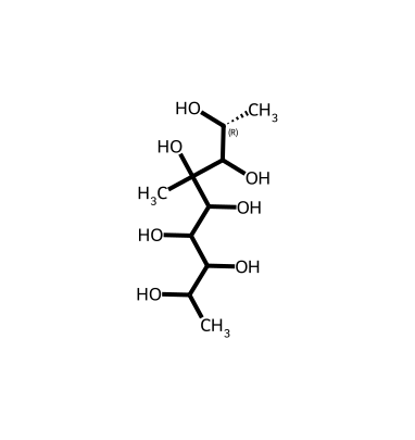 CC(O)C(O)C(O)C(O)C(C)(O)C(O)[C@@H](C)O